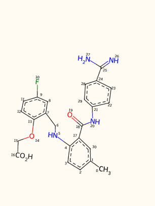 Cc1ccc(NCc2cc(F)ccc2OCC(=O)O)c(C(=O)Nc2ccc(C(=N)N)cc2)c1